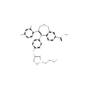 O=C(OF)c1ccc2c(c1)CCCC(c1ccc(O)cc1O)=C2c1ccc(OC2CCN(CCCF)C2)cc1